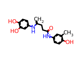 C=C(CCC(=O)Nc1ccc(O)c(C)c1)Nc1ccc(O)c(O)c1